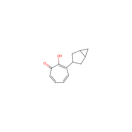 O=c1ccccc(C2CC3CC3C2)c1O